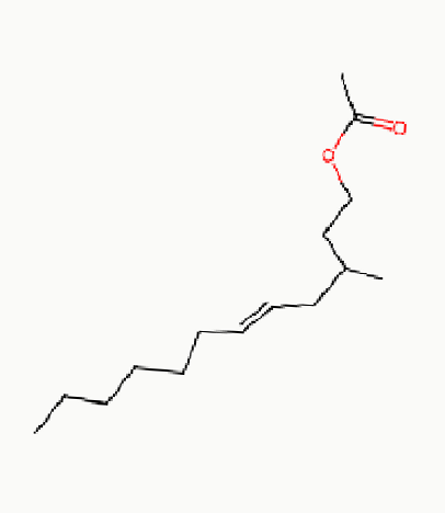 CCCCCCC=CCC(C)CCOC(C)=O